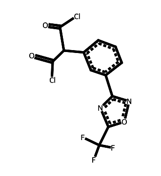 O=C(Cl)C(C(=O)Cl)c1cccc(-c2noc(C(F)(F)F)n2)c1